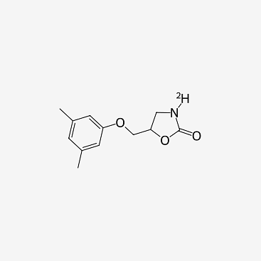 [2H]N1CC(COc2cc(C)cc(C)c2)OC1=O